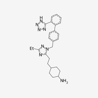 CCc1nc(CCC2CCC(N)CC2)n(Cc2ccc(-c3ccccc3-c3nnn[nH]3)cc2)n1